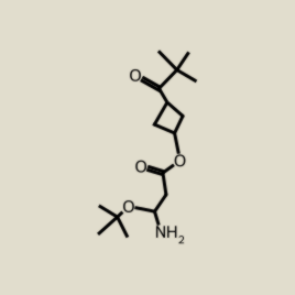 CC(C)(C)OC(N)CC(=O)OC1CC(C(=O)C(C)(C)C)C1